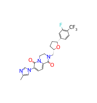 Cc1cn(-c2ccc3n(c2=O)CCN(C[C@@H]2CC[C@H](c4ccc(C(F)(F)F)c(F)c4)O2)C3=O)cn1